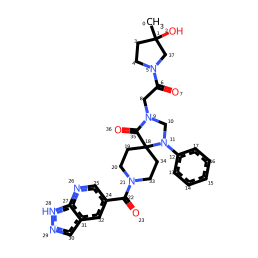 CC1(O)CCN(C(=O)CN2CN(c3ccccc3)C3(CCN(C(=O)c4cnc5[nH]ncc5c4)CC3)C2=O)C1